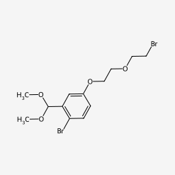 COC(OC)c1cc(OCCOCCBr)ccc1Br